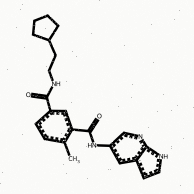 Cc1ccc(C(=O)NCCC2CCCC2)cc1C(=O)Nc1cnc2[nH]ccc2c1